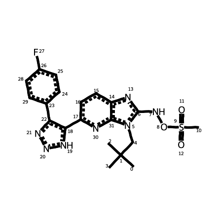 CC(C)(C)Cn1c(NOS(C)(=O)=O)nc2ccc(-c3[nH]nnc3-c3ccc(F)cc3)nc21